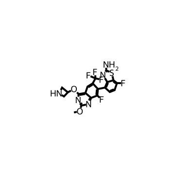 COc1nc(OC2CNC2)c2cc(C(F)(F)F)c(-c3ccc(F)c4sc(N)nc34)c(F)c2n1